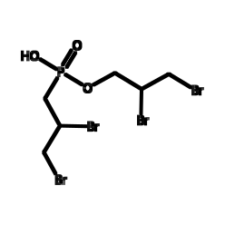 O=P(O)(CC(Br)CBr)OCC(Br)CBr